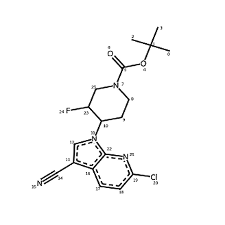 CC(C)(C)OC(=O)N1CCC(n2cc(C#N)c3ccc(Cl)nc32)C(F)C1